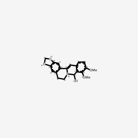 CCC1c2c(ccc(OC)c2OC)C=C2c3cc4c(cc3CCN21)OCO4